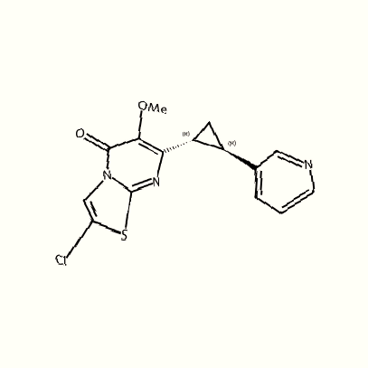 COc1c([C@@H]2C[C@H]2c2cccnc2)nc2sc(Cl)cn2c1=O